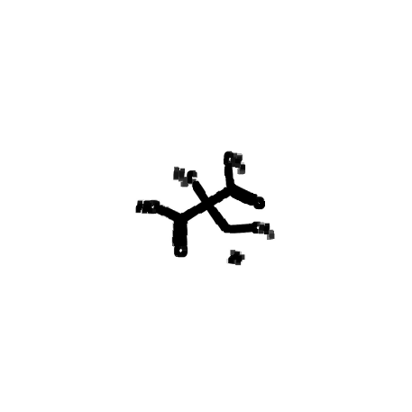 CCC(C)(C(C)=O)C(=O)O.[Zr]